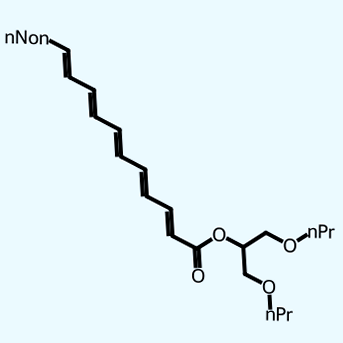 CCCCCCCCCC=CC=CC=CC=CC=CC(=O)OC(COCCC)COCCC